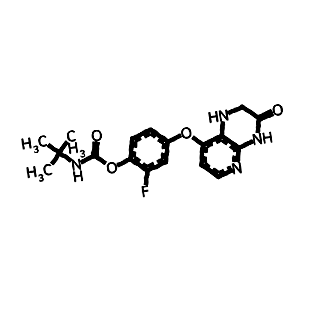 CC(C)(C)NC(=O)Oc1ccc(Oc2ccnc3c2NCC(=O)N3)cc1F